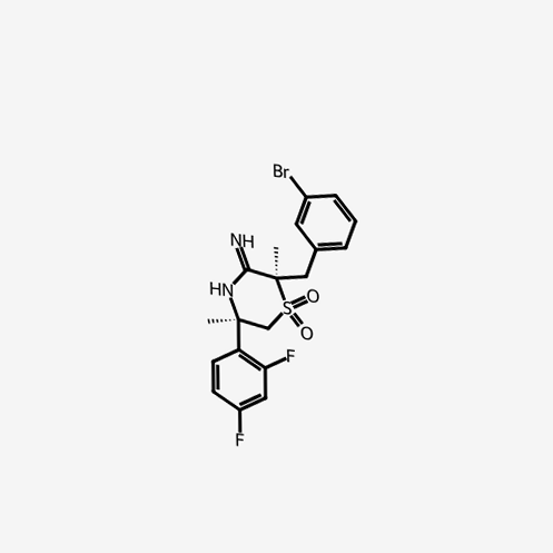 C[C@@]1(c2ccc(F)cc2F)CS(=O)(=O)[C@](C)(Cc2cccc(Br)c2)C(=N)N1